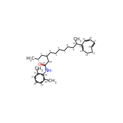 CCCC(CCCCCCC(C)C1=C/CC/C=C/C=C\1)CC(=O)Nc1c(C)cccc1C